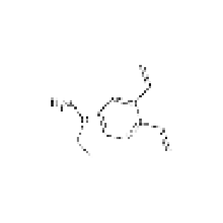 C=Cc1ccccc1C=C.CCO[SiH3]